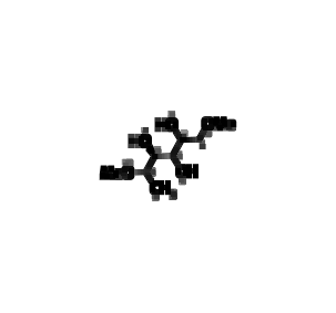 COCC(O)C(O)[C@H](O)C(C)OC